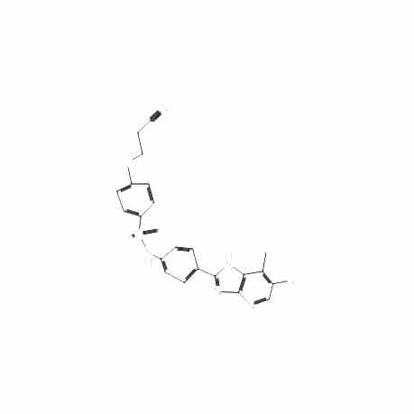 Cc1c(Br)cnc2nc(-c3ccc(NS(=O)(=O)c4ccc(OCCC#N)cc4)cc3)[nH]c12